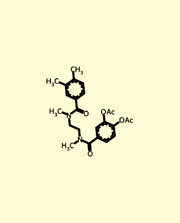 CC(=O)Oc1ccc(C(=O)N(C)CCN(C)C(=O)c2ccc(C)c(C)c2)cc1OC(C)=O